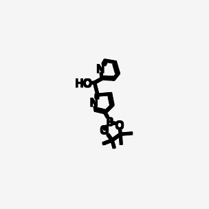 CC1(C)OB(c2ccc(C(O)c3ccccn3)nc2)OC1(C)C